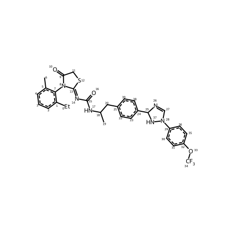 CCc1cccc(C)c1N1C(=O)CS/C1=N\C(=O)NC(C)Cc1ccc(C2N=CN(c3ccc(OC(F)(F)F)cc3)N2)cc1